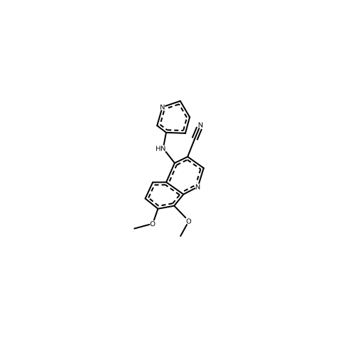 COc1ccc2c(Nc3cccnc3)c(C#N)cnc2c1OC